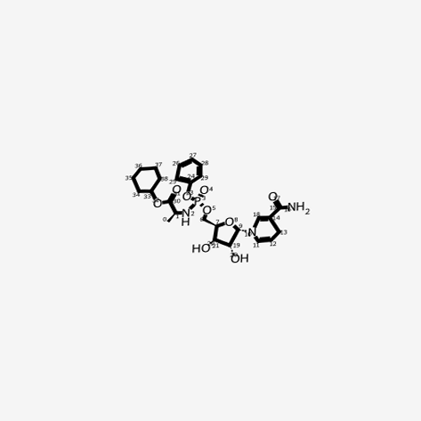 C[C@H](NP(=O)(OC[C@H]1O[C@H](N2C=CCC(C(N)=O)=C2)[C@H](O)[C@@H]1O)Oc1ccccc1)C(=O)OC1CCCCC1